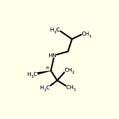 CC(C)CN[C@H](C)C(C)(C)C